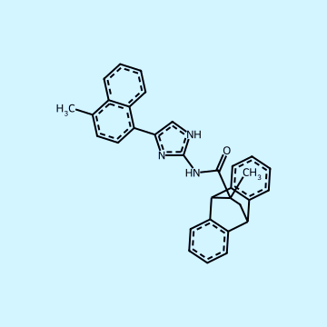 Cc1ccc(-c2c[nH]c(NC(=O)C3(C)CC4c5ccccc5C3c3ccccc34)n2)c2ccccc12